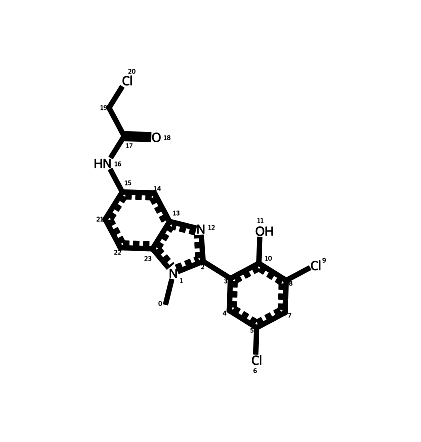 Cn1c(-c2cc(Cl)cc(Cl)c2O)nc2cc(NC(=O)CCl)ccc21